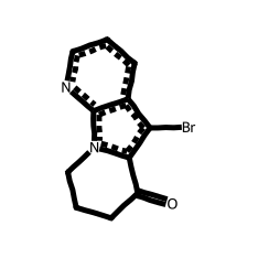 O=C1CCCn2c1c(Br)c1cccnc12